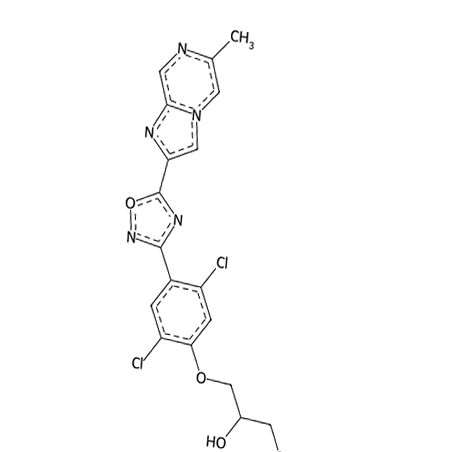 Cc1cn2cc(-c3nc(-c4cc(Cl)c(OCC(O)CO)cc4Cl)no3)nc2cn1